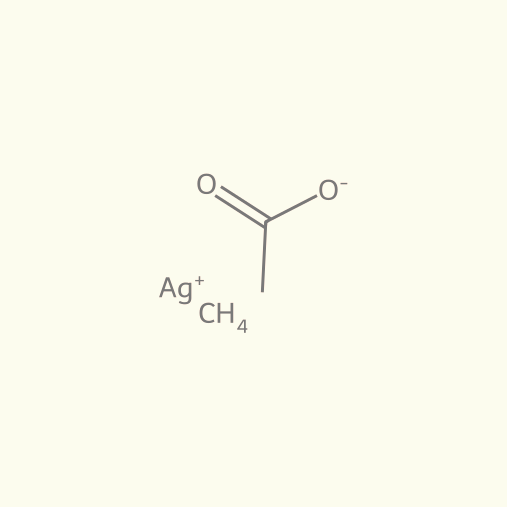 C.CC(=O)[O-].[Ag+]